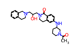 CC(=O)N1CCCC(Nc2ccc3c(c2)CCN(CC(O)CN2CCc4ccccc4C2)C3=O)C1